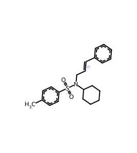 Cc1ccc(S(=O)(=O)N(C/C=C/c2ccccc2)C2CCCCC2)cc1